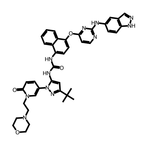 CC(C)(C)c1cc(NC(=O)Nc2ccc(Oc3ccnc(Nc4ccc5[nH]ncc5c4)n3)c3ccccc23)n(-c2ccc(=O)n(CCN3CCOCC3)c2)n1